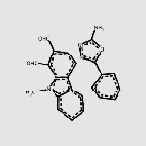 Cn1c2ccccc2c2ccc(C=O)c(C=O)c21.Nc1nnc(-c2ccccc2)o1